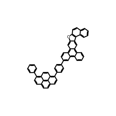 c1ccc(-c2ccc3ccc4ccc(-c5ccc(-c6ccc7c(c6)c6ccccc6c6cc8c(cc76)oc6ccc7ccccc7c68)cc5)c5ccc2c3c45)cc1